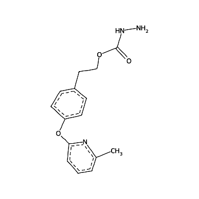 Cc1cccc(Oc2ccc(CCOC(=O)NN)cc2)n1